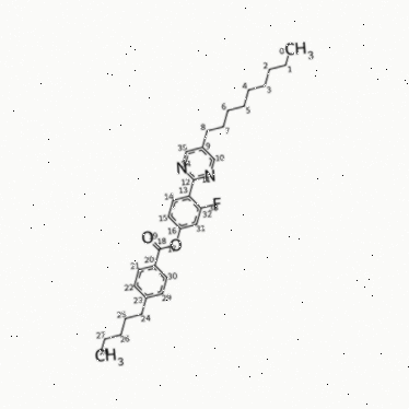 CCCCCCCCCc1cnc(-c2ccc(OC(=O)c3ccc(CCCCC)cc3)cc2F)nc1